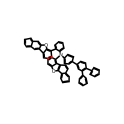 c1ccc(-c2ccc(-c3ccc(N(c4ccccc4-c4cccc5c4oc4cc6ccccc6cc45)c4cccc5oc6c7ccccc7ccc6c45)cc3)cc2-c2ccccc2)cc1